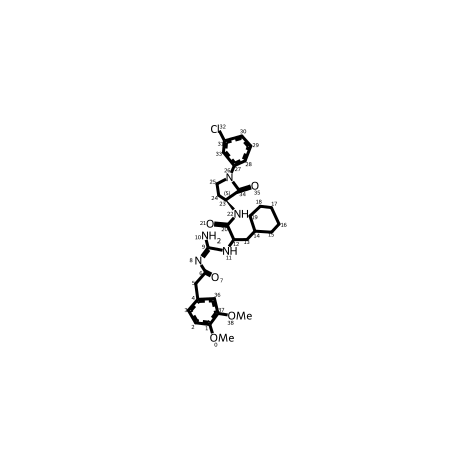 COc1ccc(CC(=O)N=C(N)NC(CC2CCCCC2)C(=O)N[C@H]2CCN(c3cccc(Cl)c3)C2=O)cc1OC